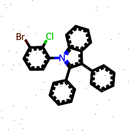 Clc1c(Br)cccc1-n1c(-c2ccccc2)c(-c2ccccc2)c2ccccc21